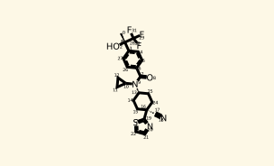 C[C@](O)(c1ccc(C(=O)N(C2CC2)[C@H]2CC[C@](C#N)(c3nccs3)CC2)cc1)C(F)(F)F